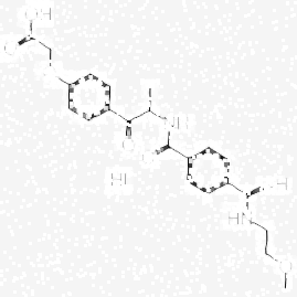 COCCNC(=N)c1ccc(C(=O)NC(C)C(=O)c2ccc(OCC(=O)O)cc2)cc1.I